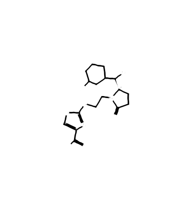 CC1CCCC(C(N)[C@H]2CCC(=O)N2CCSc2nc(C(=O)O)cs2)C1